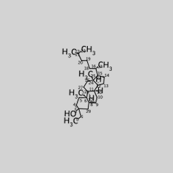 CCC1(O)CC[C@@]2(C)C(=CC[C@H]3[C@@H]4CC[C@H]([C@H](C)CCCC(C)C)[C@@]4(C)CC[C@@H]32)C1